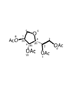 CC(=O)OCC(OC(C)=O)[C@H]1OC[C@H](OC(C)=O)[C@H]1OC(C)=O